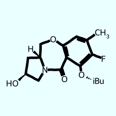 CC[C@@H](C)Oc1c(F)c(C)cc2c1C(=O)N1C[C@@H](O)C[C@@H]1CO2